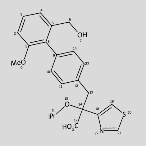 COc1cccc(CO)c1-c1ccc(CC(OC(C)C)(C(=O)O)c2cscn2)cc1